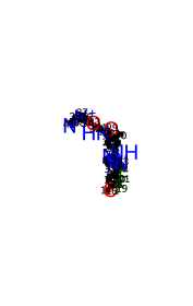 CCc1cc(Nc2nccn3c(-c4ccc(OC)c(F)c4F)cnc23)ccc1C(=O)NCCOCC[N+](C)(C)CC#N